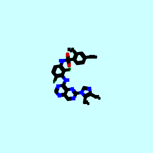 COc1ccc(S(=O)(=O)Nc2ccc(F)c(Nc3ncnc4cnc(-n5cnc(C)c5C)nc34)c2F)c(C)c1